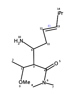 COC(C)C(C(=O)N(C)C)C(N)C/C=C/C(C)C